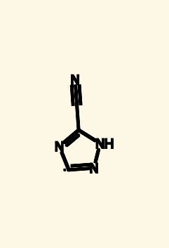 N#Cc1n[c]n[nH]1